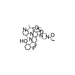 C=CC(=O)N1CCN(c2c(S(C)(=O)=O)c(=S)n(-c3c(C)ccnc3C(C)C)c3nc(-c4c(O)cccc4F)c(F)cc23)CC1